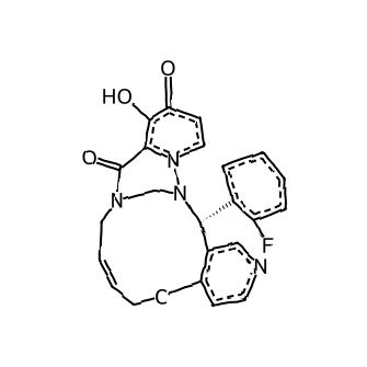 O=C1c2c(O)c(=O)ccn2N2CN1C/C=C\CCc1ccncc1[C@H]2c1ccccc1F